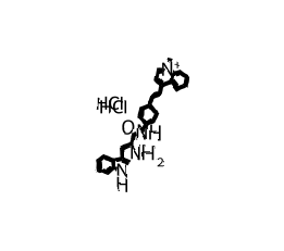 C[n+]1ccc(C=Cc2ccc(NC(=O)[C@@H](N)Cc3c[nH]c4ccccc34)cc2)c2ccccc21.Cl.Cl